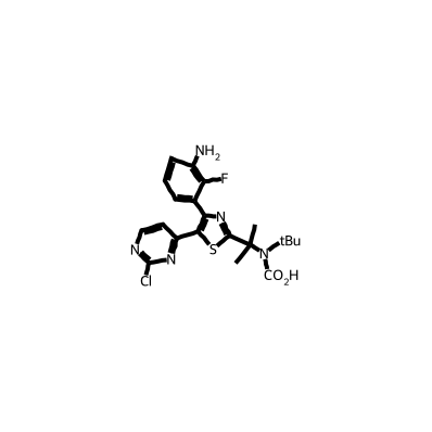 CC(C)(C)N(C(=O)O)C(C)(C)c1nc(-c2cccc(N)c2F)c(-c2ccnc(Cl)n2)s1